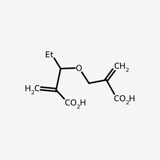 C=C(COC(CC)C(=C)C(=O)O)C(=O)O